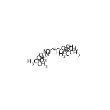 CC(C)(C)OC(=O)Cn1cc(/C=C/CCO[Si](C)(C)C(C)(C)C)cn1